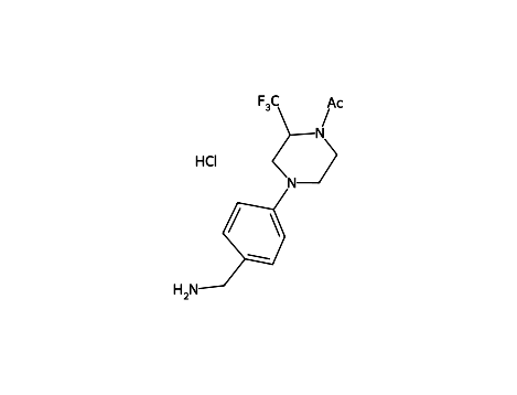 CC(=O)N1CCN(c2ccc(CN)cc2)CC1C(F)(F)F.Cl